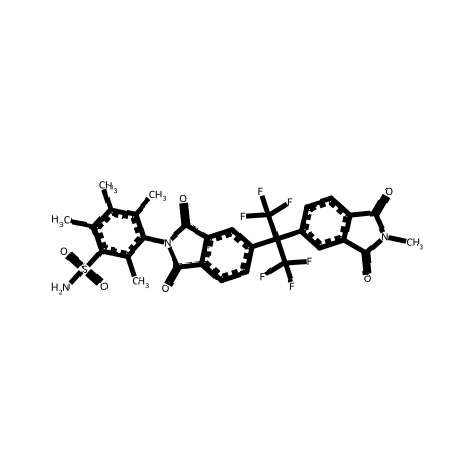 Cc1c(C)c(N2C(=O)c3ccc(C(c4ccc5c(c4)C(=O)N(C)C5=O)(C(F)(F)F)C(F)(F)F)cc3C2=O)c(C)c(S(N)(=O)=O)c1C